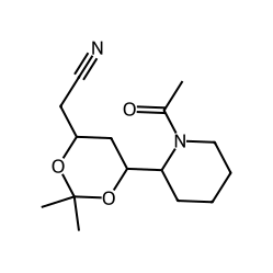 CC(=O)N1CCCCC1C1CC(CC#N)OC(C)(C)O1